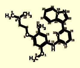 COc1cc(OCCN(C)C)c(N)cc1Nc1nccc(-c2cnn3ccccc23)n1